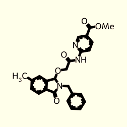 COC(=O)c1ccc(NC(=O)COC2c3cc(C)ccc3C(=O)N2Cc2ccccc2)nc1